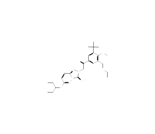 CCOCc1cc(C(=O)Cn2nc3ccc(OC(CC)CC)nn3c2=N)cc(C(C)(C)C)c1OC